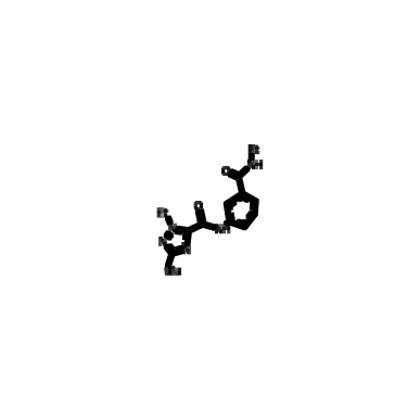 CCNC(=O)c1cccc(NC(=O)c2nc(C(C)(C)C)nn2CC)c1